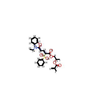 C=C(C)C(=O)OC(C)COC(=O)/C(=C/C=C1\Oc2ccccc2N1CC)S(=O)(=O)c1ccccc1